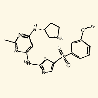 CCOc1cccc(S(=O)(=O)c2cnc(Nc3cc(N[C@@H]4CCNC4)nc(C)n3)s2)c1